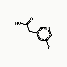 O=C(O)Cc1cncc(F)c1